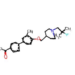 COC(=O)c1ccc(-c2ccc(OCC3CCN(CC(C)(C)F)CC3)c(C#N)c2)cc1